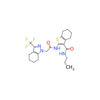 CCCNC(=O)c1c(NC(=O)Cn2nc(C(F)(F)F)c3c2CCCC3)sc2c1CCCC2